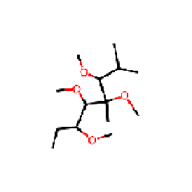 CCC(OC)C(OC)C(C)(OC)C(OC)C(C)C